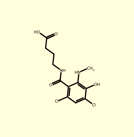 CNc1c(O)c(Cl)cc(Cl)c1C(=O)NCCCC(=O)O